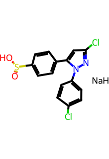 O=S(O)c1ccc(-c2cc(Cl)nn2-c2ccc(Cl)cc2)cc1.[NaH]